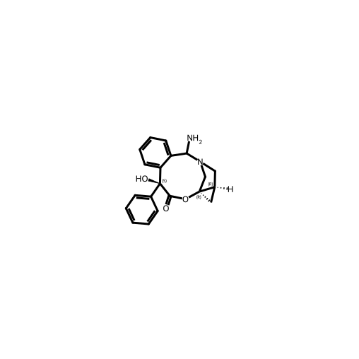 NC1c2ccccc2[C@@](O)(c2ccccc2)C(=O)O[C@]23C[C@@H]2CN1C3